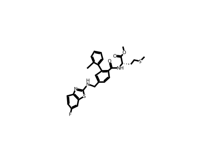 COC(=O)[C@H](CCSC)NC(=O)c1ccc(CNc2nc3ccc(F)cc3s2)cc1-c1ccccc1C